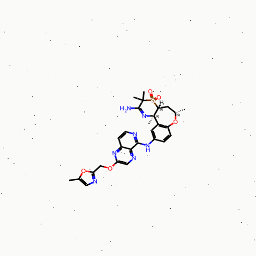 Cc1cnc(COc2cnc3c(Nc4ccc5c(c4)[C@@]4(C)N=C(N)C(C)(C)S(=O)(=O)[C@@H]4C[C@H](C)O5)nccc3n2)o1